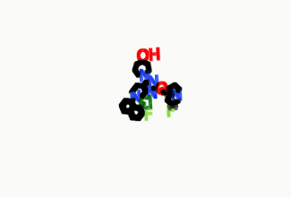 OC1CCCN(c2nc(OC[C@@]34CCCN3C[C@H](F)C4)nc3c2CCN(c2cccc4ccc(F)c(Cl)c24)C3)CC1